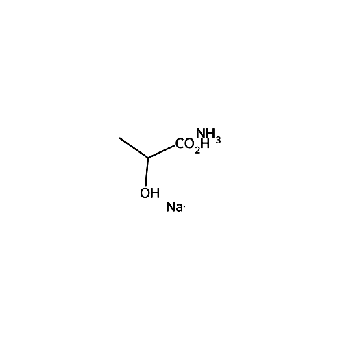 CC(O)C(=O)O.N.[Na]